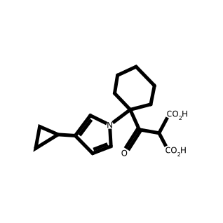 O=C(O)C(C(=O)O)C(=O)C1(n2ccc(C3CC3)c2)CCCCC1